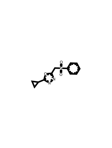 O=S(=O)(Cc1nnc(C2CC2)o1)c1ccccc1